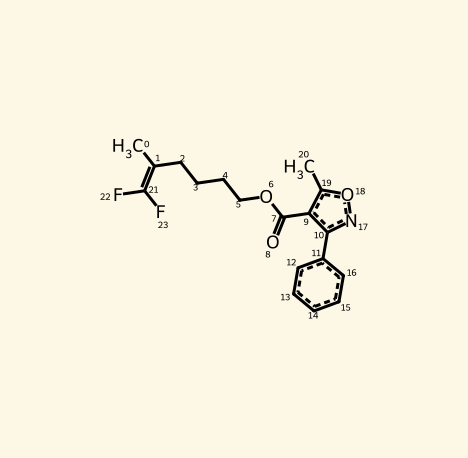 CC(CCCCOC(=O)c1c(-c2ccccc2)noc1C)=C(F)F